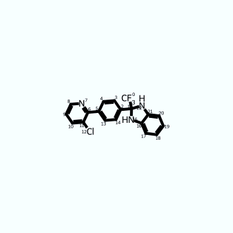 FC(F)(F)C1(c2ccc(-c3ncccc3Cl)cc2)Nc2ccccc2N1